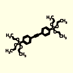 CCO[Si](OCC)(OCC)c1ccc(C#Cc2ccc([Si](OCC)(OCC)OCC)cc2)cc1